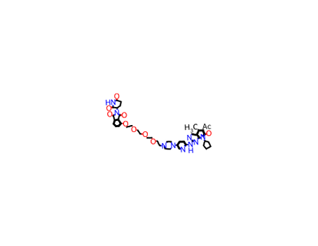 CC(=O)c1c(C)c2cnc(Nc3ccc(N4CCN(CCOCCOCCOCCOc5cccc6c5C(=O)N(C5CCC(=O)NC5=O)C6=O)CC4)cn3)nc2n(C2CCCC2)c1=O